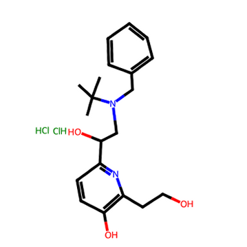 CC(C)(C)N(Cc1ccccc1)CC(O)c1ccc(O)c(CCO)n1.Cl.Cl